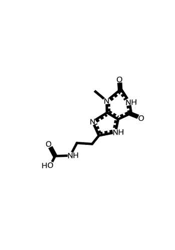 Cn1c(=O)[nH]c(=O)c2[nH]c(CCNC(=O)O)nc21